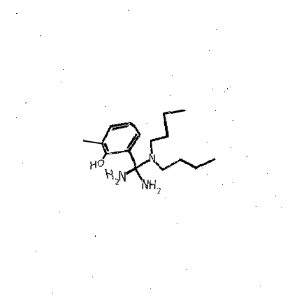 CCCCN(CCCC)C(N)(N)c1cccc(C)c1O